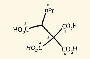 CCCC(C(=O)O)C(C(=O)O)(C(=O)O)C(=O)O